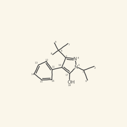 CC(C)n1nc(C(C)(C)C)c(-c2ccccc2)c1O